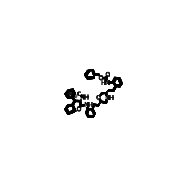 O=C(O)N[C@H](C(=O)Nc1ccccc1CC[C@@H]1CN[C@H](CCc2ccccc2NC(=O)OCc2ccccc2)CO1)C(c1ccccc1)c1ccccc1